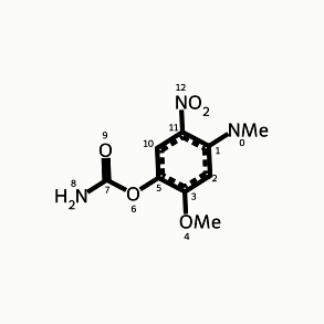 CNc1cc(OC)c(OC(N)=O)cc1[N+](=O)[O-]